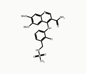 CCc1c(CNS(C)(=O)=O)cccc1Nc1c(C(N)=O)cnc2cc(OC)c(OC)cc12